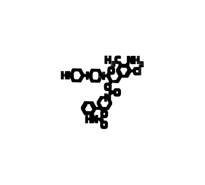 Cc1cc(C[C@@H](OC(=O)N2CCC3(CC2)OC(=O)Nc2ccccc23)C(=O)N2CCN(C3CCNCC3)CC2)cc(Cl)c1N